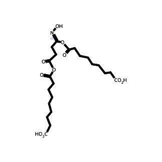 O=C(O)CCCCCCCC(=O)OC(=O)CC/C(=N/O)OC(=O)CCCCCCCC(=O)O